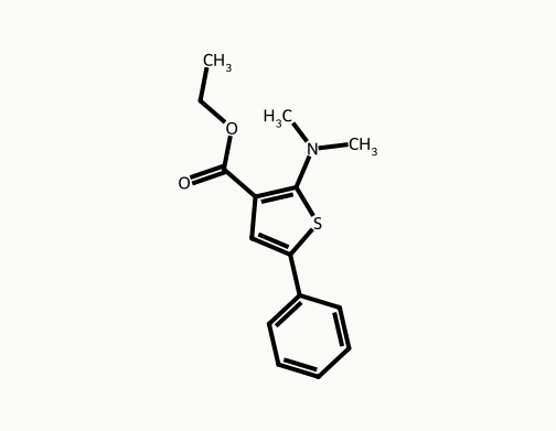 CCOC(=O)c1cc(-c2ccccc2)sc1N(C)C